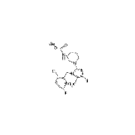 CC(C)(C)OC(=O)N[C@@H]1CCCN(c2nc(I)c(C(=O)O)n2Cc2cc(F)ccc2Cl)C1